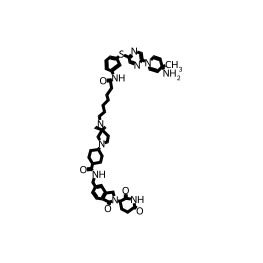 CC1(N)C=CN(c2cnc(Sc3cccc(NC(=O)CCCCCCN4CC5(CCN(C6CCC(C(=O)NCc7ccc8c(c7)CN(C7CCC(=O)NC7=O)C8=O)CC6)C5)C4)c3)cn2)C=C1